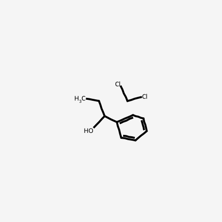 CCC(O)c1ccccc1.ClCCl